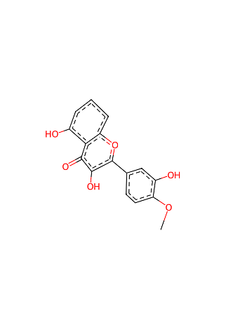 COc1ccc(-c2oc3cccc(O)c3c(=O)c2O)cc1O